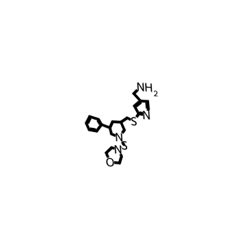 NCc1ccnc(SCC2CC(c3ccccc3)CN(SN3CCOCC3)C2)c1